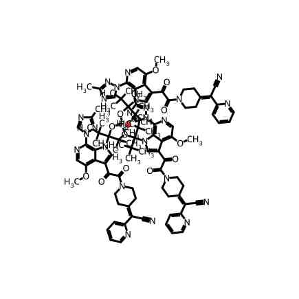 COc1cnc(-n2cnc(C)n2)c2c1c(C(=O)C(=O)N1CCC(=C(C#N)c3ccccn3)CC1)cn2C(OP(=O)(OC(n1cc(C(=O)C(=O)N2CCC(=C(C#N)c3ccccn3)CC2)c2c(OC)cnc(-n3cnc(C)n3)c21)(C(C)(C)C)C(C)(C)C)OC(n1cc(C(=O)C(=O)N2CCC(=C(C#N)c3ccccn3)CC2)c2c(OC)cnc(-n3cnc(C)n3)c21)(C(C)(C)C)C(C)(C)C)(C(C)(C)C)C(C)(C)C